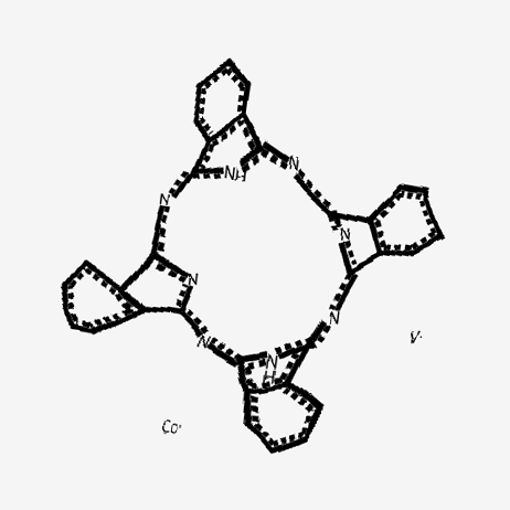 [Co].[V].c1ccc2c(c1)-c1nc-2nc2[nH]c(nc3nc(nc4[nH]c(n1)c1ccccc41)-c1ccccc1-3)c1ccccc21